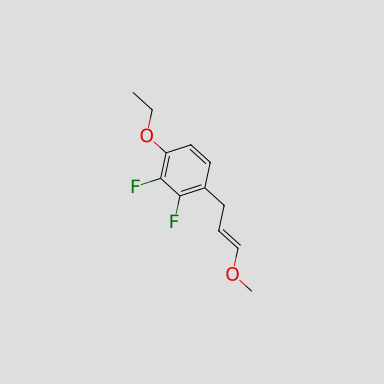 CCOc1ccc(C/C=C/OC)c(F)c1F